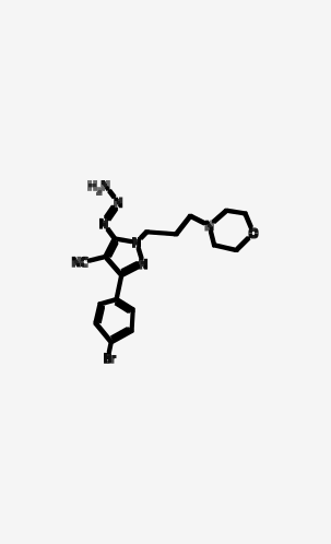 N#Cc1c(-c2ccc(Br)cc2)nn(CCCN2CCOCC2)c1N=NN